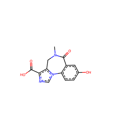 CN1Cc2c(C(=O)O)ncn2-c2ccc(O)cc2C1=O